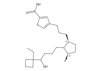 CCC1(C(O)CCCC2[C@@H](CCCc3csc(C(=O)O)c3)CC[C@H]2F)CCC1